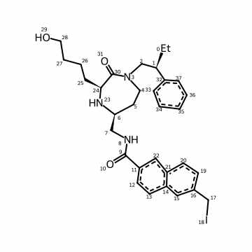 CC[C@H](CN1CC[C@@H](CNC(=O)c2ccc3cc(CI)ccc3c2)N[C@@H](CCCCO)C1=O)c1ccccc1